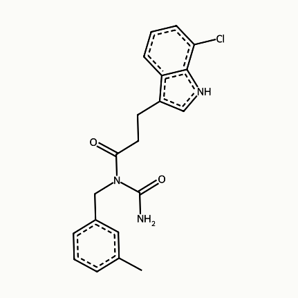 Cc1cccc(CN(C(N)=O)C(=O)CCc2c[nH]c3c(Cl)cccc23)c1